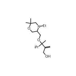 C=C(CO)C(C)(OCC1COC(C)(C)CN1CC)C(C)C